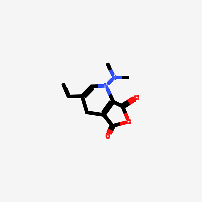 CCC1=CN(N(C)C)C2=C(C1)C(=O)OC2=O